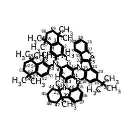 Cc1cc2c(cc1N(c1cc3c4c(c1)-n1c5c(cc(C(C)(C)C)cc5c5sc6ccccc6c51)B4c1cccc4c1N3C1(C)CCCCC41C)c1ccc3c(c1C)C(C)(C)CCC3(C)C)C(C)(C)CCC2(C)C